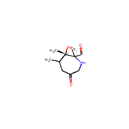 CC1CC(=O)CNC(C)(C=O)[C@@]1(C)O